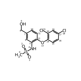 CS(=O)(=O)Nc1cc(CO)ccc1Oc1ccc(Cl)cc1Cl